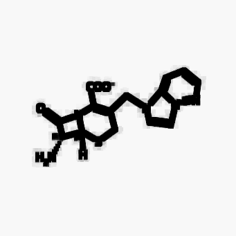 N[C@@H]1C(=O)N2C(C(=O)[O-])=C(Cn3cc[n+]4ncccc34)CS[C@H]12